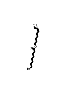 CC/C=C\CCCCCOC(=O)CCCCCCCBr